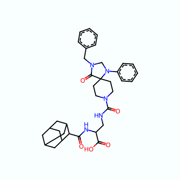 O=C(O)C(CNC(=O)N1CCC2(CC1)C(=O)N(Cc1ccccc1)CN2c1ccccc1)NC(=O)C1C2CC3CC(C2)CC1C3